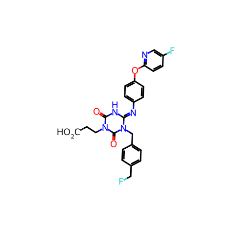 O=C(O)CCn1c(=O)[nH]/c(=N\c2ccc(Oc3ccc(F)cn3)cc2)n(Cc2ccc(CF)cc2)c1=O